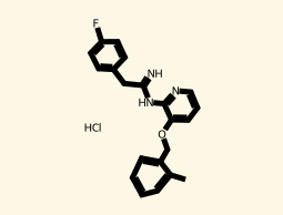 Cc1ccccc1COc1cccnc1NC(=N)Cc1ccc(F)cc1.Cl